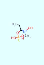 CCC(OP(O)(O)=S)=[N+](C)O